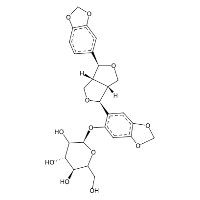 OCC1O[C@H](Oc2cc3c(cc2[C@H]2OC[C@H]4[C@@H]2CO[C@@H]4c2ccc4c(c2)OCO4)OCO3)C(O)[C@@H](O)[C@@H]1O